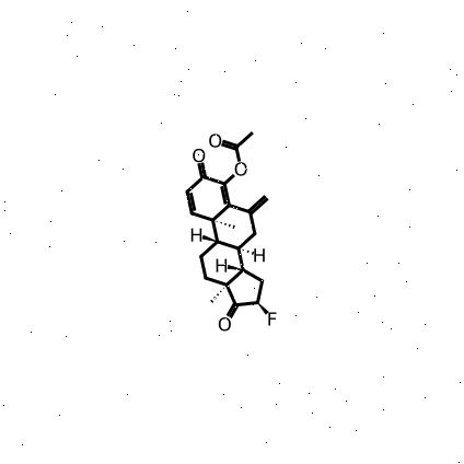 C=C1C[C@@H]2[C@H](CC[C@]3(C)C(=O)[C@H](F)C[C@@H]23)[C@@]2(C)C=CC(=O)C(OC(C)=O)=C12